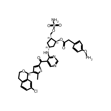 Cc1sc(C(=O)c2cncnc2N[C@@H]2C[C@H](COS(N)(=O)=O)[C@@H](OC(=O)Cc3ccc(OP)cc3)C2)cc1[C@@H]1OCCc2ccc(Cl)cc21